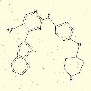 Cc1cnc(Nc2ccc(OC3CCNCC3)cc2)nc1-c1cc2ccccc2s1